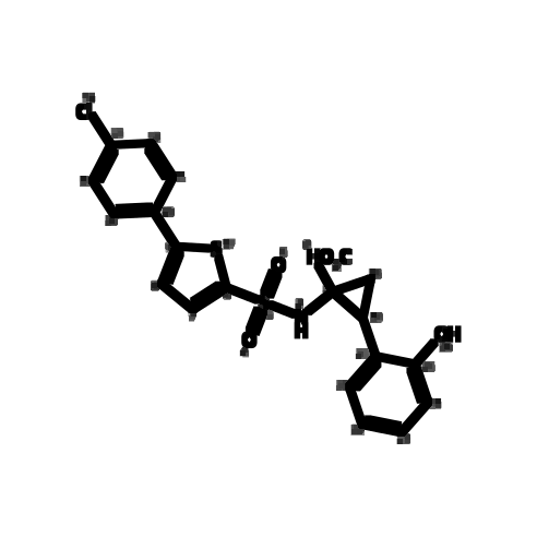 O=C(O)C1(NS(=O)(=O)c2ccc(-c3ccc(Cl)cc3)s2)CC1c1ccccc1O